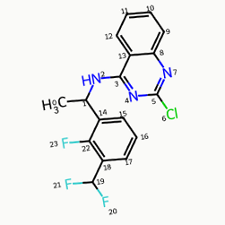 CC(Nc1nc(Cl)nc2ccccc12)c1cccc(C(F)F)c1F